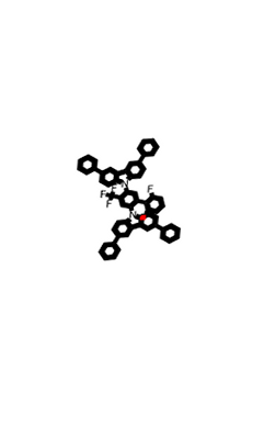 Fc1cccc(F)c1-c1cc(-n2c3ccc(-c4ccccc4)cc3c3cc(-c4ccccc4)ccc32)c(C(F)(F)F)cc1-n1c2ccc(-c3ccccc3)cc2c2cc(-c3ccccc3)ccc21